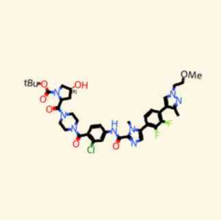 COCCn1cc(-c2ccc(-c3cnc(C(=O)Nc4ccc(C(=O)N5CCN(C(=O)C6C[C@@H](O)CN6C(=O)OC(C)(C)C)CC5)c(Cl)c4)n3C)c(F)c2F)c(C)n1